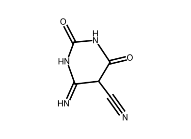 N#CC1C(=N)NC(=O)NC1=O